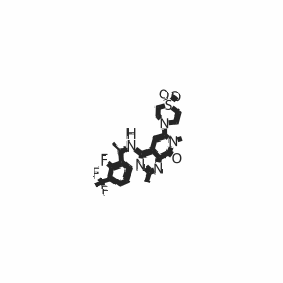 Cc1nc(N[C@H](C)c2cccc(C(C)(F)F)c2F)c2cc(N3CCS(=O)(=O)CC3)n(C)c(=O)c2n1